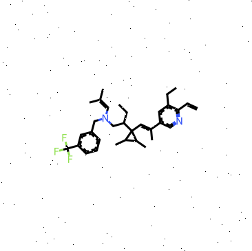 C=Cc1ncc(/C(C)=C/C2(C(CC)CN(C=C(C)C)Cc3cccc(C(F)(F)F)c3)C(C)C2C)cc1CC